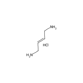 Cl.NC/C=C/CN